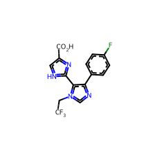 O=C(O)c1c[nH]c(-c2c(-c3ccc(F)cc3)ncn2CC(F)(F)F)n1